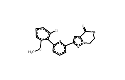 COc1cccc(Cl)c1-c1nccc(-c2cc3n(n2)CCNC3=O)n1